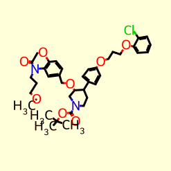 COCCCN1C(=O)COc2ccc(COC3CN(C(=O)OC(C)(C)C)CCC3c3ccc(OCCCOc4ccccc4Cl)cc3)cc21